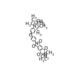 CCN1C2(C)C(=O)c3cc4c(cc3C(=O)C12C)C(=O)N(c1ccc(Oc2ccc(N3C(C)(C(C)C)C3(C)C(C)C)cc2)cc1)C4=O